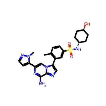 Cc1ccc(S(=O)(=O)N[C@H]2CC[C@H](O)CC2)cc1-c1cnc2c(N)nc(-c3ccnn3C)cn12